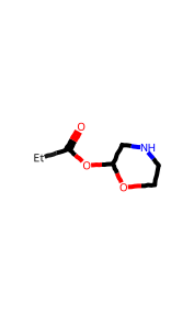 CCC(=O)OC1CNCCO1